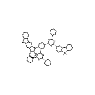 CC1(C)c2ccccc2-c2cc(-c3nc(-c4ccccc4)nc(-c4ccc(-n5c6ccccc6c6cc7oc8ccccc8c7cc65)c(-c5nc(-c6ccccc6)nc(-c6ccccc6)n5)c4)n3)ccc21